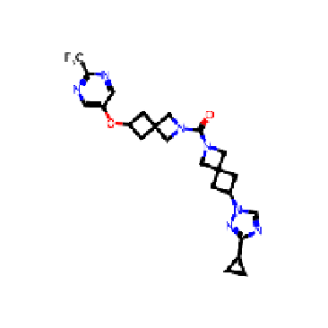 O=C(N1CC2(CC(Oc3cnc(C(F)(F)F)nc3)C2)C1)N1CC2(CC(n3cnc(C4CC4)n3)C2)C1